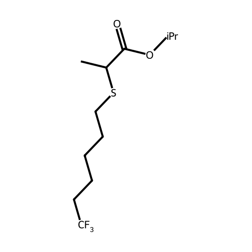 CC(C)OC(=O)C(C)SCCCCCC(F)(F)F